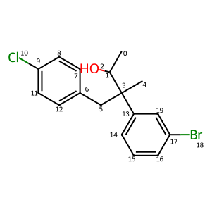 CC(O)C(C)(Cc1ccc(Cl)cc1)c1cccc(Br)c1